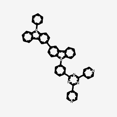 c1ccc(-n2c3ccccc3c3cc(-c4ccc5c(c4)c4ccccc4n5-c4cccc(-c5nc(-c6ccncc6)nc(-c6ccncc6)n5)c4)ccc32)cc1